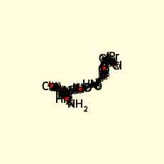 CC(C)[C@H](C(=O)N1CCC2(CC1)Oc1ccc(C#CC(=O)NCCOCCn3cc(CSc4nc(NCCN)c5nnn(Cc6ccc(Cl)cc6)c5n4)nn3)cc1O2)c1ccc(Cl)cc1